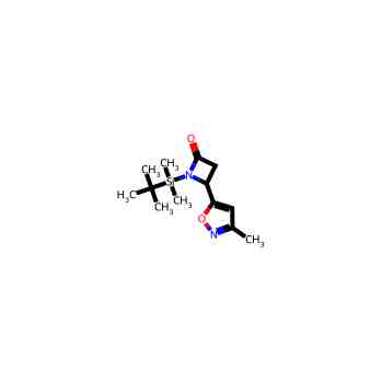 Cc1cc(C2CC(=O)N2[Si](C)(C)C(C)(C)C)on1